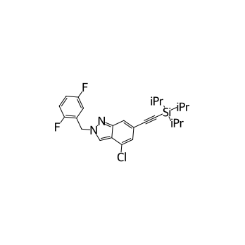 CC(C)[Si](C#Cc1cc(Cl)c2cn(Cc3cc(F)ccc3F)nc2c1)(C(C)C)C(C)C